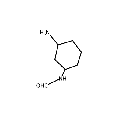 NC1CCCC(NC=O)C1